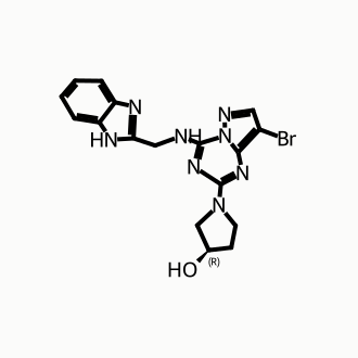 O[C@@H]1CCN(c2nc(NCc3nc4ccccc4[nH]3)n3ncc(Br)c3n2)C1